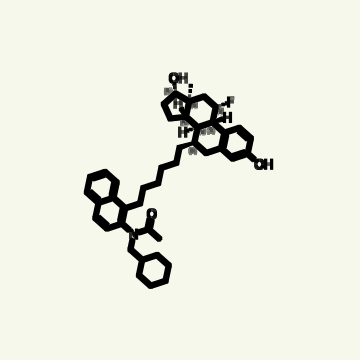 CC(=O)N(CC1CCCCC1)c1ccc2ccccc2c1CCCCCC[C@@H]1Cc2cc(O)ccc2[C@@H]2[C@@H]1[C@@H]1CC[C@H](O)[C@@]1(C)C[C@@H]2F